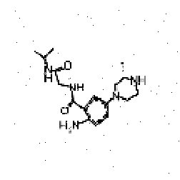 CC(C)NC(=O)CNC(=O)c1cc(N2CCN[C@@H](C)C2)ccc1N